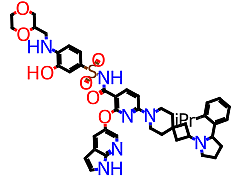 CC(C)c1ccccc1C1CCCN1C1CC2(CCN(c3ccc(C(=O)NS(=O)(=O)c4ccc(NCC5COCCO5)c(O)c4)c(Oc4cnc5[nH]ccc5c4)n3)CC2)C1